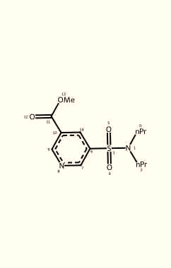 CCCN(CCC)S(=O)(=O)c1cncc(C(=O)OC)c1